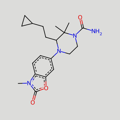 Cn1c(=O)oc2cc(N3CCN(C(N)=O)C(C)(C)C3CCC3CC3)ccc21